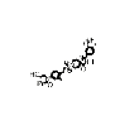 Cc1cc(N(CCO)C(=O)C(C)C)ccc1CCS(=O)(=O)N1CCC2(CC1)N=C(c1cccc(OC(F)(F)F)c1)NC2=O